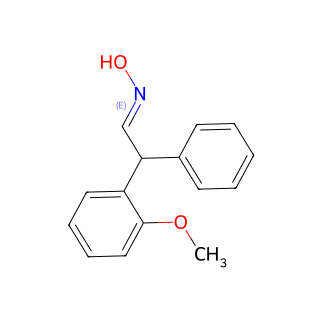 COc1ccccc1C(/C=N/O)c1ccccc1